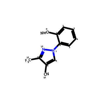 COc1ccccc1-n1cc(C#N)c(C(F)(F)F)n1